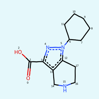 O=C(O)c1nn(C2CCCCC2)c2c1CNCC2